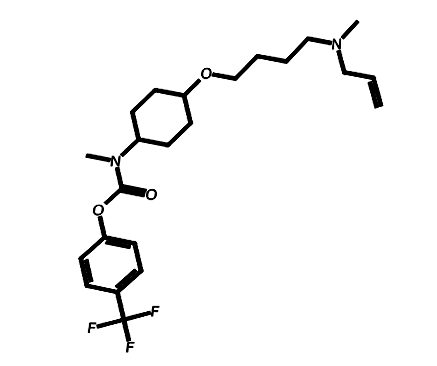 C=CCN(C)CCCCOC1CCC(N(C)C(=O)Oc2ccc(C(F)(F)F)cc2)CC1